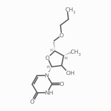 CCCOC[C@H]1O[C@@H](n2ccc(=O)[nH]c2=O)C(O)[C@H]1C